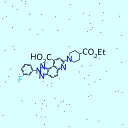 CCOC(=O)C1CCN(c2cc(C(=O)O)c3c(ccc4nn(-c5cccc(F)c5)nc43)n2)CC1